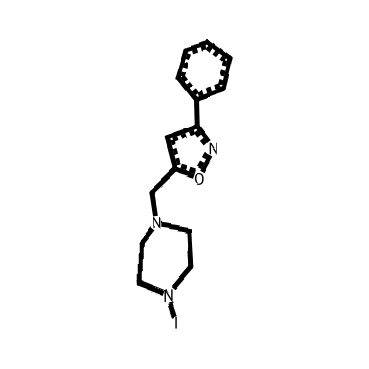 IN1CCN(Cc2cc(-c3ccccc3)no2)CC1